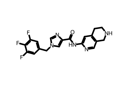 O=C(Nc1cc2c(cn1)CNCC2)c1cn(Cc2cc(F)c(F)c(F)c2)cn1